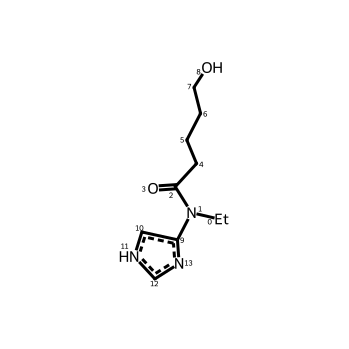 CCN(C(=O)CCCCO)c1c[nH]cn1